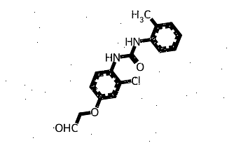 Cc1ccccc1NC(=O)Nc1ccc(OC[C]=O)cc1Cl